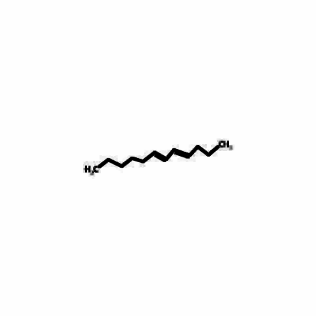 [CH2]CCCCC=CC=CCCC